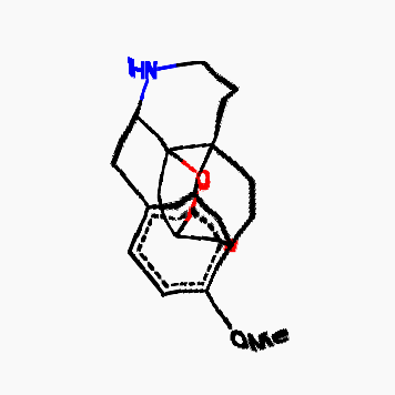 COc1ccc2c(c1)C13CCNC(C2)C12CC(CC3)O2